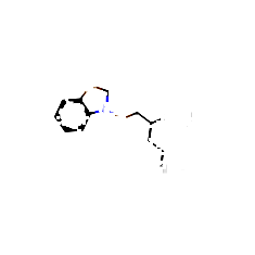 CCCCCCCCCCCCC(CSN1CSc2ccccc21)C(=O)O